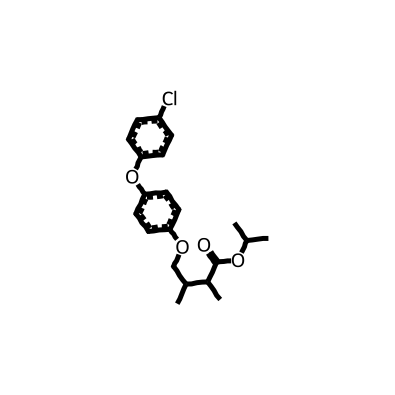 CC(C)OC(=O)C(C)C(C)COc1ccc(Oc2ccc(Cl)cc2)cc1